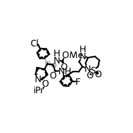 COC(=O)N[C@H](C(=O)Nc1cccc(F)c1CCC1CNC2CCCS(=O)(=O)N1C2)[C@@H](c1ccc(Cl)cc1)c1ccnc(OC(C)C)c1